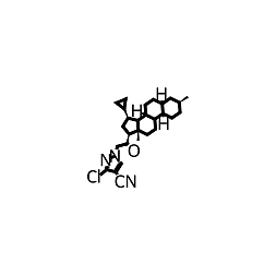 C[C@H]1CC[C@@H]2C3CC[C@@]4(C)C([C@@H]3CC[C@@H]2C1)[C@H](C1CC1)C[C@@H]4C(=O)Cn1cc(C#N)c(Cl)n1